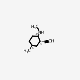 C#C[C@@H]1C[C@@H](C)CC[C@H]1NC